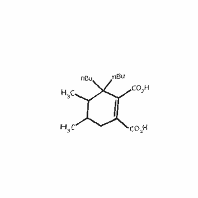 CCCCC1(CCCC)C(C(=O)O)=C(C(=O)O)CC(C)C1C